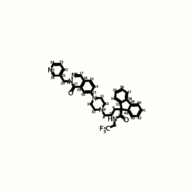 O=C(NCC(F)(F)F)C1(CCCN2CCN(c3ccc4cnn(Cc5cccnc5)c(=O)c4c3)CC2)c2ccccc2-c2ccccc21